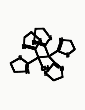 OC(C1=NCCS1)(C1=NCCS1)C(C1=NCCS1)(C1=NCCS1)C1=NCCS1